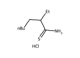 CCCCCC(CC)C(N)=S.Cl